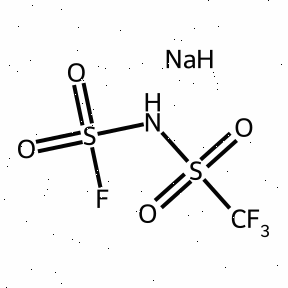 O=S(=O)(F)NS(=O)(=O)C(F)(F)F.[NaH]